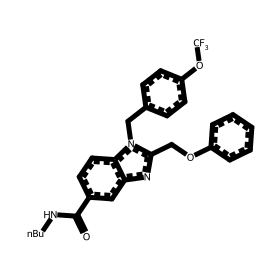 CCCCNC(=O)c1ccc2c(c1)nc(COc1ccccc1)n2Cc1ccc(OC(F)(F)F)cc1